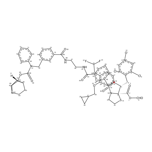 O=COC(=O)[C@]1([C@@H](Cc2c(Cl)c[n+]([O-])cc2Cl)c2ccc(OC(F)F)c(OCC3CC3)c2)SCCN1S(=O)(=O)c1cccc(C(=O)NCCNC(=O)c2cccc(CN(C(=O)O[C@H]3CN4CCC3CC4)c3ccccc3)c2)c1